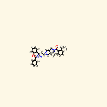 Cc1cccc(C)c1C(=O)N1CC2CN(CC[C@H](NC(=O)c3ccccc3)c3ccccc3)CC2C1